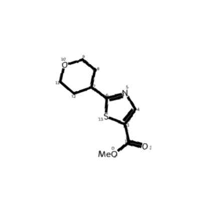 COC(=O)c1cnc(C2CCOCC2)s1